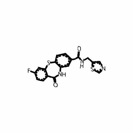 O=C(NCc1cncs1)c1ccc2c(c1)NC(=O)c1ccc(F)cc1S2